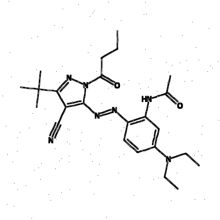 CCCC(=O)n1nc(C(C)(C)C)c(C#N)c1/N=N/c1ccc(N(CC)CC)cc1NC(C)=O